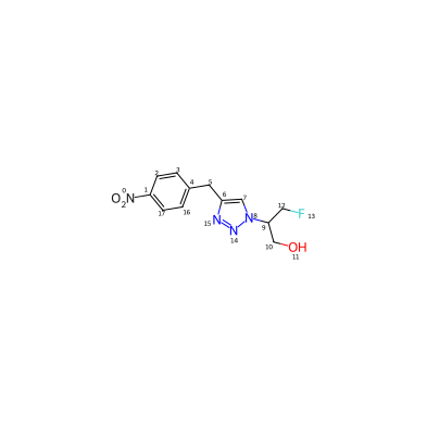 O=[N+]([O-])c1ccc(Cc2cn(C(CO)CF)nn2)cc1